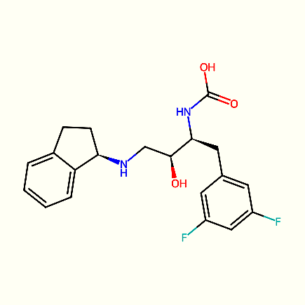 O=C(O)N[C@@H](Cc1cc(F)cc(F)c1)[C@@H](O)CN[C@@H]1CCc2ccccc21